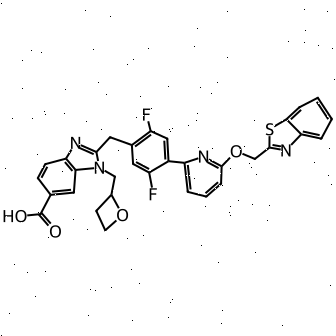 O=C(O)c1ccc2nc(Cc3cc(F)c(-c4cccc(OCc5nc6ccccc6s5)n4)cc3F)n(CC3CCO3)c2c1